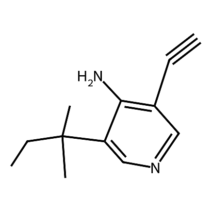 C#Cc1cncc(C(C)(C)CC)c1N